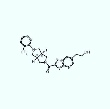 O=C(c1nc2ncc(CCO)cn2n1)N1C[C@@H]2CN(c3ccccc3C(F)(F)F)C[C@@H]2C1